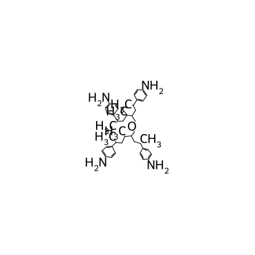 CC(CC(C)C(COCC(CC(C)c1ccc(N)cc1)C(C)CC(C)c1ccc(N)cc1)CC(C)c1ccc(N)cc1)c1ccc(N)cc1